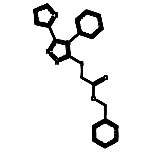 O=C(CSc1nnc(-c2cccs2)n1-c1ccccc1)OCc1ccccc1